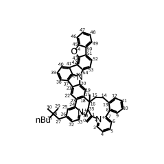 C=C1[n+]2ccccc2-c2ccccc2CCC2(C)c3cc4c(cc3-c3cc(CC(C)(C)CCCC)cc[n+]3C12C)c1cccc2c3c5oc6ccccc6c5ccc3n4c12